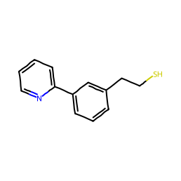 SCCc1cccc(-c2ccccn2)c1